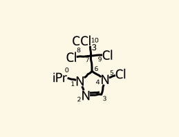 CC(C)N1N=CN(Cl)C1C(Cl)(Cl)C(Cl)(Cl)Cl